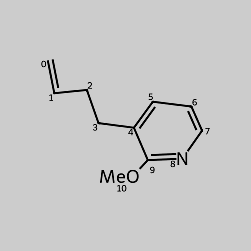 C=CCCc1cccnc1OC